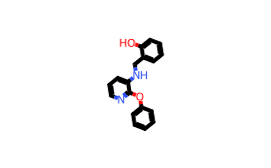 Oc1ccccc1CNc1cccnc1Oc1ccccc1